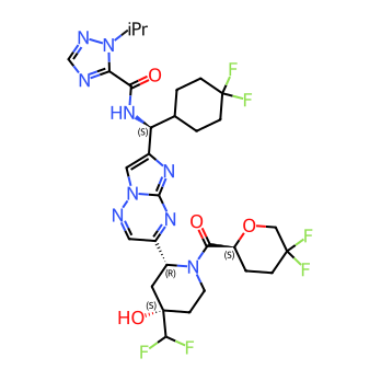 CC(C)n1ncnc1C(=O)N[C@H](c1cn2ncc([C@H]3C[C@](O)(C(F)F)CCN3C(=O)[C@@H]3CCC(F)(F)CO3)nc2n1)C1CCC(F)(F)CC1